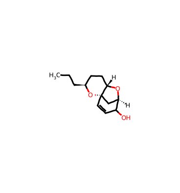 CCC[C@H]1CC[C@@H]2O[C@@H]3C[C@]2(C=CC3O)O1